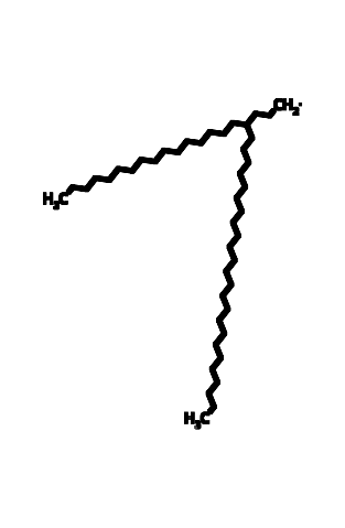 [CH2]CCC(CCCCCCCCCCCCCCCC)CCCCCCCCCCCCCCCCCCCCCCCC